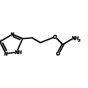 NC(=O)OCCc1nnn[nH]1